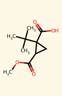 COC(=O)C1CC1(C(=O)O)C(C)(C)C